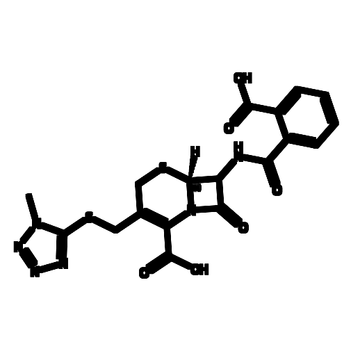 Cn1nnnc1SCC1=C(C(=O)O)N2C(=O)C(NC(=O)c3ccccc3C(=O)O)[C@@H]2SC1